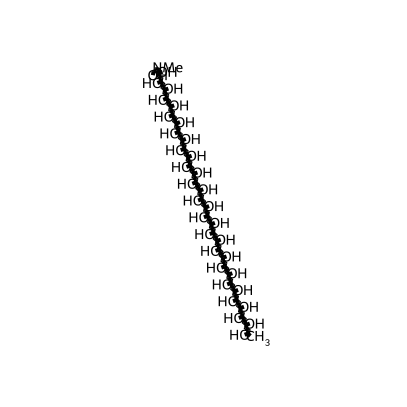 CNC(CO)C(O)CCC(O)CCC(O)CCC(O)CCC(O)CCC(O)CCC(O)CCC(O)CCC(O)CCC(O)CCC(O)CCC(O)CCC(O)CCC(O)CCC(O)CCC(O)CCC(O)CCC(O)CCC(O)CCC(O)CCC(O)CCC(O)CCC(O)CCC(O)CCC(O)CCC(O)CCC(O)CCC(O)CCC(O)CCC(O)CCC(O)CCC(C)O